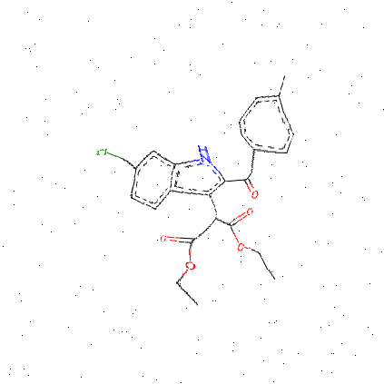 CCOC(=O)C(C(=O)OCC)c1c(C(=O)c2ccc(C)cc2)[nH]c2cc(Cl)ccc12